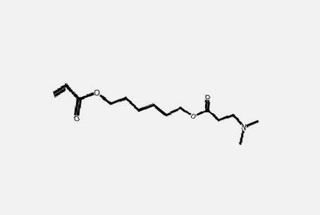 C=CC(=O)OCCCCCCOC(=O)CCN(C)C